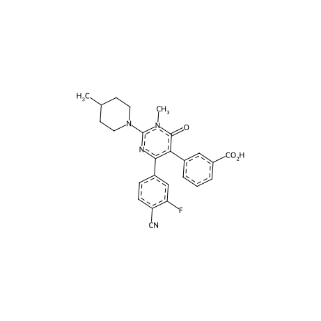 CC1CCN(c2nc(-c3ccc(C#N)c(F)c3)c(-c3cccc(C(=O)O)c3)c(=O)n2C)CC1